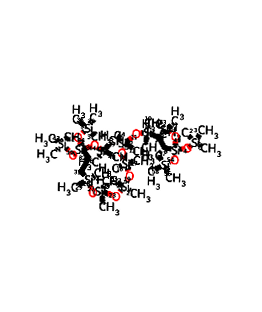 C[Si](C)(C)O[Si](CC[Si](C)(C)O[Si](C)(C)O[Si](C)(C)O[Si](C)(C)O[Si](C)(C)O[Si](C)(C)CC[Si](O[Si](C)(C)C)(O[Si](C)(C)C)O[Si](C)(C)C)(O[Si](C)(C)C)O[Si](C)(C)C